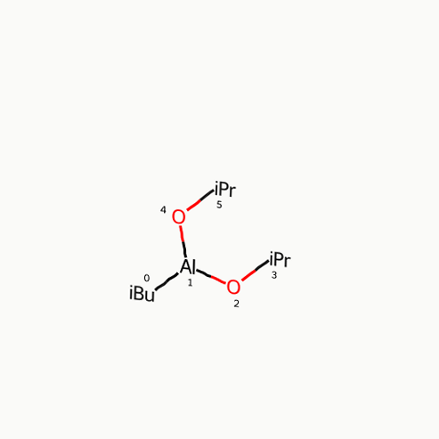 CC[CH](C)[Al]([O]C(C)C)[O]C(C)C